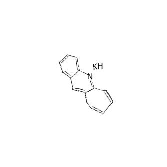 [KH].c1ccc2nc3ccccc3cc2c1